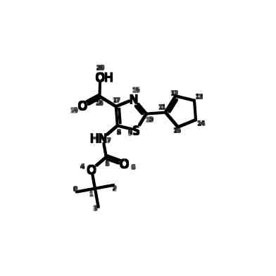 CC(C)(C)OC(=O)Nc1sc(C2=CCCC2)nc1C(=O)O